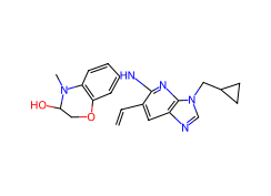 C=Cc1cc2ncn(CC3CC3)c2nc1Nc1ccc2c(c1)OCC(O)N2C